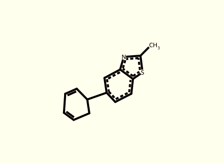 Cc1nc2cc(C3C=CC=CC3)ccc2s1